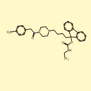 O=C(NCC(F)(F)F)OC1(CCCCN2CCN(C(=O)Cc3ccc([N+](=O)[O-])cc3)CC2)c2ccccc2-c2ccccc21